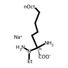 CCCCCCCCCCCC[C@](N)(C(=O)[O-])N(N)CC.[Na+]